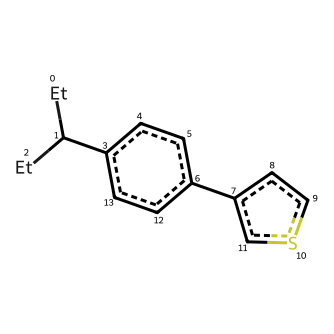 CCC(CC)c1ccc(-c2ccsc2)cc1